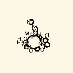 CO[C@@]1(CN2CCN(c3cccnc3)CC2)/C=C/C[C@H](C)[C@@H](C)S(=O)(=O)NC(=O)c2ccc3c(c2)N(C[C@@H]2CC[C@H]21)C[C@@]1(CCCc2cc(Cl)ccc21)CO3